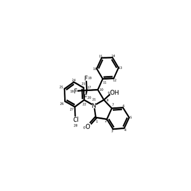 O=C1c2ccccc2C(O)(C(c2ccccc2)C(F)(F)F)N1c1ccccc1Cl